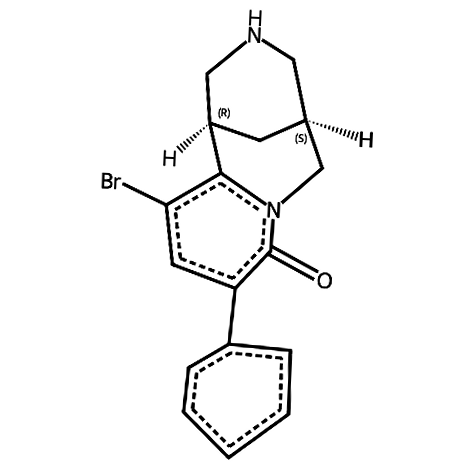 O=c1c(-c2ccccc2)cc(Br)c2n1C[C@@H]1CNC[C@H]2C1